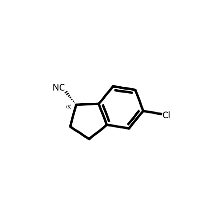 N#C[C@H]1CCc2cc(Cl)ccc21